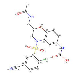 CC(=O)NCC1CN(S(=O)(=O)c2cc(C#N)ccc2Cl)c2cc(NC(=O)O)ccc2O1